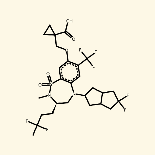 CN1[C@H](CCC(C)(F)F)CN(C2CC3CC(F)(F)CC3C2)c2cc(C(F)(F)F)c(OCC3(C(=O)O)CC3)cc2S1(=O)=O